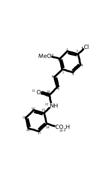 COc1cc(Cl)ccc1C=CC(=O)Nc1ccccc1C(=O)O